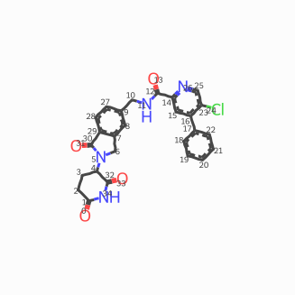 O=C1CCC(N2Cc3cc(CNC(=O)c4cc(-c5ccccc5)c(Cl)cn4)ccc3C2=O)C(=O)N1